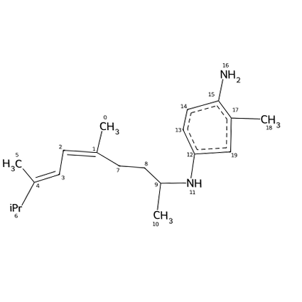 C/C(=C/C=C(\C)C(C)C)CCC(C)Nc1ccc(N)c(C)c1